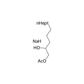 CCCCCCCCCCC(O)COC(C)=O.[NaH]